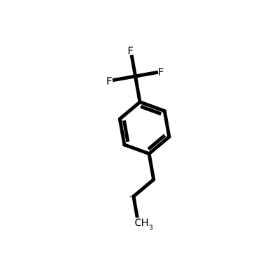 C[CH]Cc1ccc(C(F)(F)F)cc1